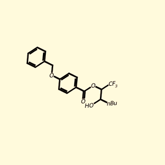 CCCCC(O)C(OC(=O)c1ccc(OCc2ccccc2)cc1)C(F)(F)F